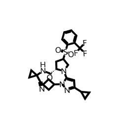 N#CC1(NC(=O)[C@@H]2CC(S(=O)(=O)c3ccccc3C(F)(F)F)CN2c2cc(C3CC3)nn2C2CCC2)CC1